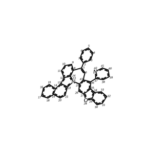 C1=C(c2ccccc2)c2cccc3c4c5ccccc5ccc4n(c23)-c2cc3oc4ccccc4c3c(-c3ccccn3)c21